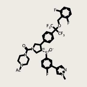 CC(=O)N1CCN(C(=O)N2CC(c3ccc(C(OCc4c(F)cccc4F)(C(F)(F)F)C(F)(F)F)cc3)[C@H]([S+]([O-])c3ccc(F)c(-c4cnn(C)c4)c3)C2)CC1